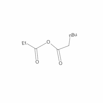 CCCCCC(=O)OC(=O)CC